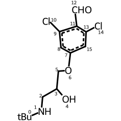 CC(C)(C)NCC(O)COc1cc(Cl)c(C=O)c(Cl)c1